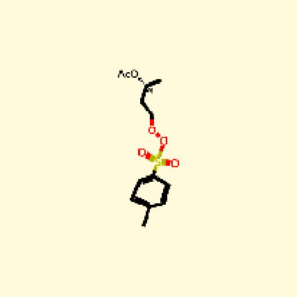 CC(=O)O[C@H](C)CCOOS(=O)(=O)c1ccc(C)cc1